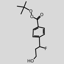 CC(C)(C)OOC(=O)c1ccc(C(F)CCO)cc1